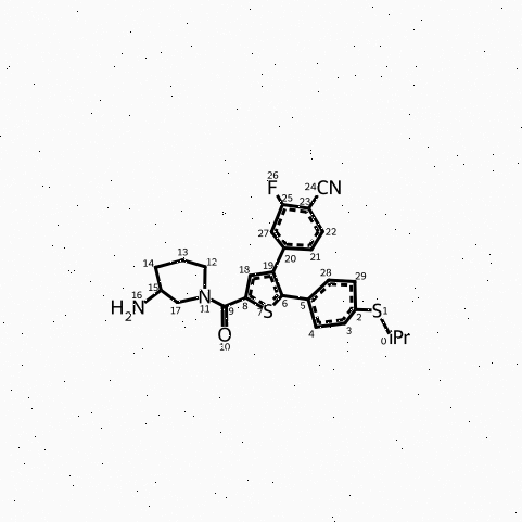 CC(C)Sc1ccc(-c2sc(C(=O)N3CCCC(N)C3)cc2-c2ccc(C#N)c(F)c2)cc1